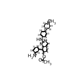 CC(=O)OCc1ccc2cnc(Nc3ccc(N4CCN(C)CC4)cc3)nc2c1-c1cccc(N)c1